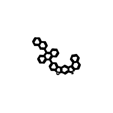 c1ccc2cc(-c3c4ccccc4c(-c4ccc5oc6cc7sc8ccc9ccccc9c8c7cc6c5c4)c4ccccc34)ccc2c1